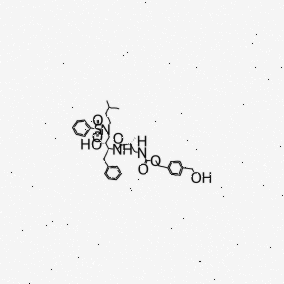 CC(C)CCN(C[C@@H](O)[C@H](Cc1ccccc1)NC(=O)[C@H](C)CNC(=O)OCc1ccc(CO)cc1)S(=O)(=O)c1ccccc1